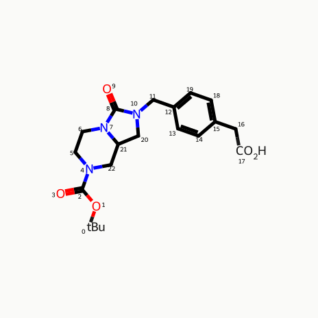 CC(C)(C)OC(=O)N1CCN2C(=O)N(Cc3ccc(CC(=O)O)cc3)CC2C1